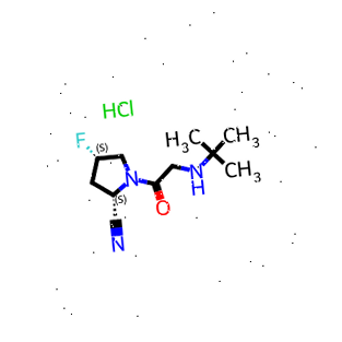 CC(C)(C)NCC(=O)N1C[C@@H](F)C[C@H]1C#N.Cl